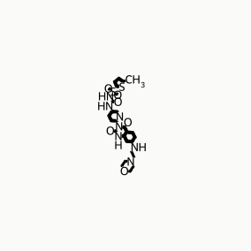 Cc1ccc(S(=O)(=O)NC(=O)Nc2ccc(-n3c(=O)[nH]c4cc(NCCN5CCOCC5)ccc4c3=O)nc2)s1